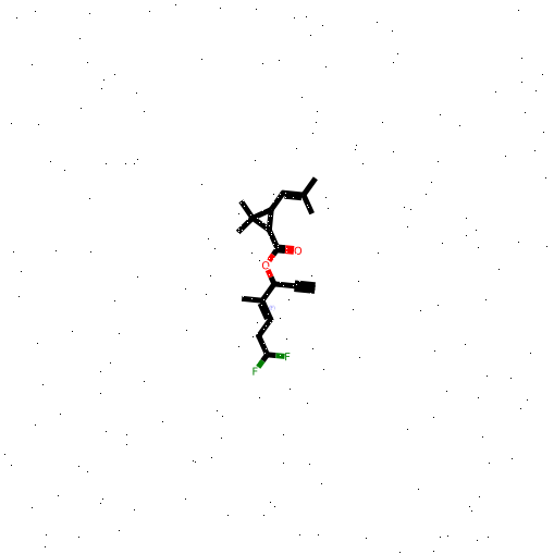 C#CC(OC(=O)C1C(C=C(C)C)C1(C)C)/C(C)=C/CC(F)F